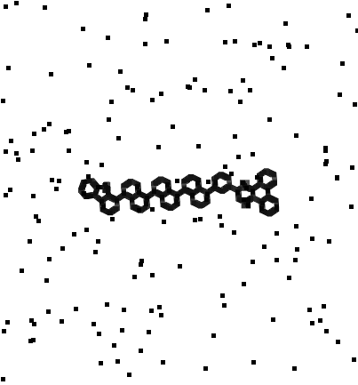 c1cc(-c2cnc3c4ccccc4c4ccccc4c3n2)cc(-c2cccc3c(-c4cccc5c(-c6cccc7c(-c8cccc9c8sc8ccccc89)cccc67)cccc45)cccc23)c1